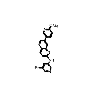 COc1ccc(-c2cnc3ccc(Nc4cc(C(C)C)cnn4)nc3c2)cn1